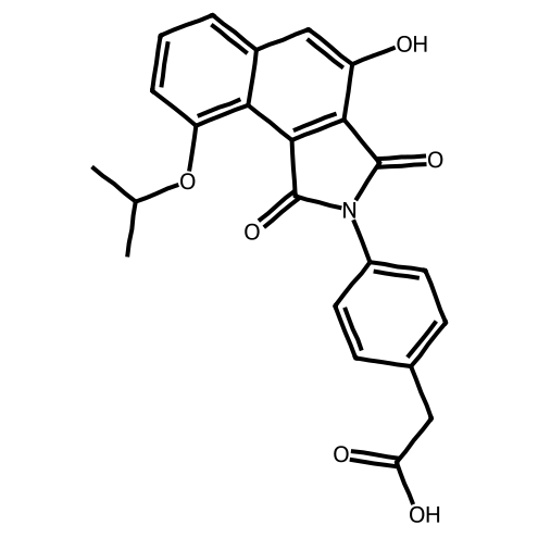 CC(C)Oc1cccc2cc(O)c3c(c12)C(=O)N(c1ccc(CC(=O)O)cc1)C3=O